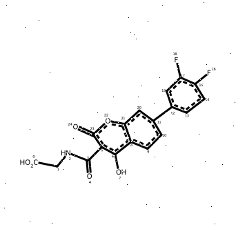 O=C(O)CNC(=O)c1c(O)c2ccc(-c3ccc(F)c(F)c3)cc2oc1=O